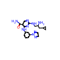 NC(=O)c1cnc(NCC(N)CC2CC2)nc1Nc1cccc(-n2nccn2)c1